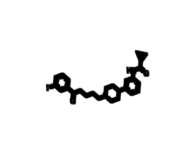 O=C(CCCCN1CCC(c2cccc(NC(=O)C3CC3)c2)CC1)c1cccc(F)c1